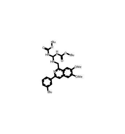 COc1cc2cc(-c3cccc(C(C)(C)C)c3)nc(CNC(NC(=O)OC(C)(C)C)NC(=O)OC(C)(C)C)c2cc1OC